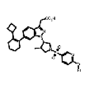 CCOc1ccc(S(=O)(=O)N2C[C@@H](C)[C@@H](n3nc(CC(=O)O)c4ccc(C5=C(C6CCC6)CCCC5)cc43)C2)cn1